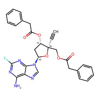 C#C[C@]1(COC(=O)Cc2ccccc2)O[C@@H](n2cnc3c(N)nc(F)nc32)C[C@@H]1OC(=O)Cc1ccccc1